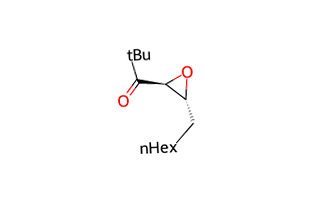 CCCCCCC[C@H]1O[C@@H]1C(=O)C(C)(C)C